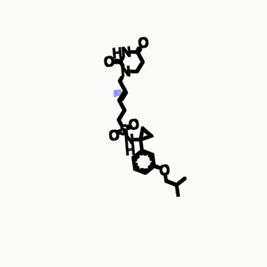 CC(C)COc1cccc(C2(NS(=O)(=O)CC/C=C/CN3CCC(=O)NC3=O)CC2)c1